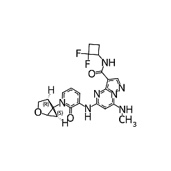 CNc1cc(Nc2cccn(C34C5OC[C@@H]3[C@H]54)c2=O)nc2c(C(=O)NC3CCC3(F)F)cnn12